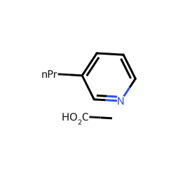 CC(=O)O.CCCc1cccnc1